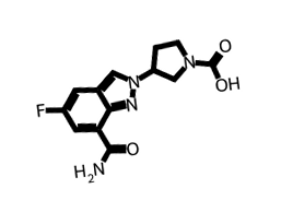 NC(=O)c1cc(F)cc2cn(C3CCN(C(=O)O)C3)nc12